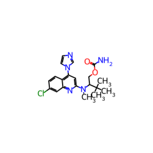 CN(c1cc(-n2ccnc2)c2ccc(Cl)cc2n1)C(COC(N)=O)C(C)(C)C